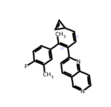 C/C(=C(\C=C/C1C=C1)c1ccc2cnccc2n1)c1ccc(F)c(C)c1